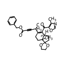 Cc1ncoc1C(=O)C1=C(C(C)C#CC(=O)OCc2ccccc2)CCC2(C)[C@H]1CCC21OCCO1